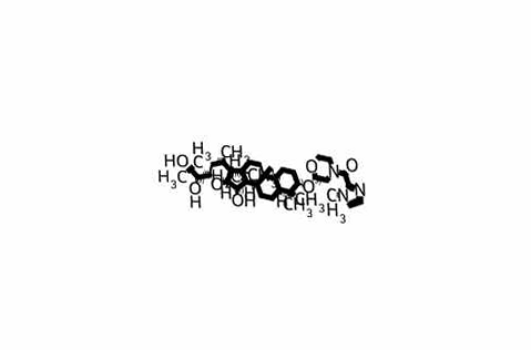 C[C@@H]1C[C@H]([C@H](O)C(C)(C)O)O[C@H]2[C@H]1[C@@]1(C)CC[C@@]34C[C@@]35CC[C@H](O[C@H]3CN(C(=O)c6nccn6C)CCO3)C(C)(C)[C@@H]5CC[C@H]4[C@]1(C)[C@H]2O